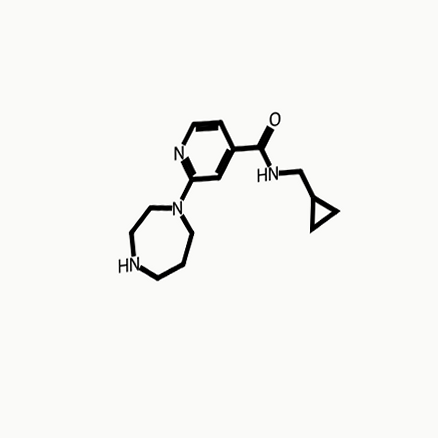 O=C(NCC1CC1)c1ccnc(N2CCCNCC2)c1